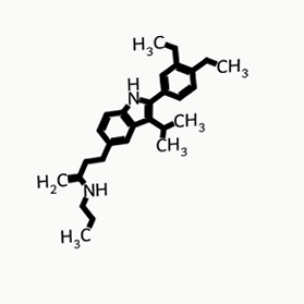 C=C(CCc1ccc2[nH]c(-c3ccc(CC)c(CC)c3)c(C(C)C)c2c1)NCCC